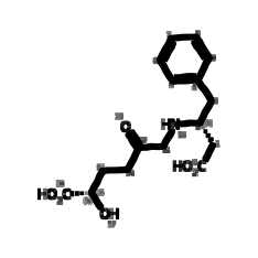 O=C(O)C[C@@H](Cc1ccccc1)NCC(=O)CC[C@H](O)C(=O)O